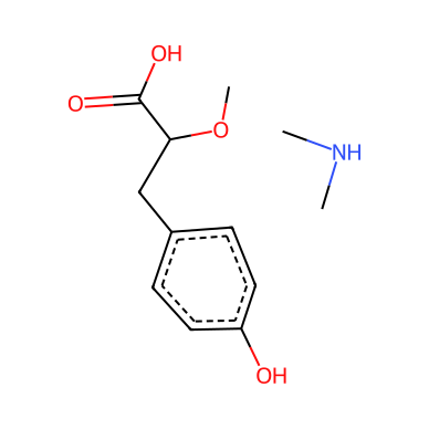 CNC.COC(Cc1ccc(O)cc1)C(=O)O